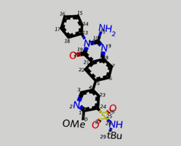 COc1ncc(-c2ccc3nc(N)n(-c4ccccc4)c(=O)c3c2)cc1S(=O)(=O)NC(C)(C)C